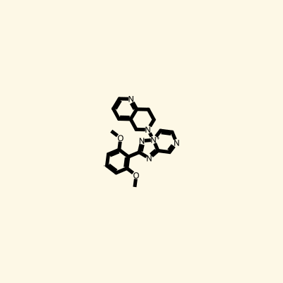 COc1c[c]cc(OC)c1C1=N[N+]2(N3CCc4ncccc4C3)C=CN=CC2=N1